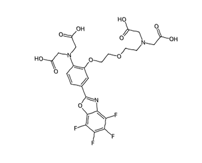 O=C(O)CN(CCOCCOc1cc(-c2nc3c(F)c(F)c(F)c(F)c3o2)ccc1N(CC(=O)O)CC(=O)O)CC(=O)O